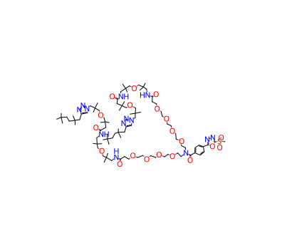 CC(C)(C)CCC(C)(C)Cc1cn(CC(C)(C)COCC(C)(C)CC(=O)NCC(C)(C)COCC(C)(C)CNC(=O)CCOCCOCCOCCOCCN(CCOCCOCCOCCOCCC(=O)NCC(C)(C)COCC(C)(C)CNC(=O)CC(C)(C)COCC(C)(C)Cn2cc(CC(C)(C)CCC(C)(C)C)nn2)C(=O)c2ccc(-c3nnc(S(C)(=O)=O)o3)cc2)nn1